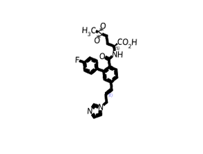 CS(=O)(=O)CC[C@H](NC(=O)c1ccc(/C=C/Cn2ccnc2)cc1-c1ccc(F)cc1)C(=O)O